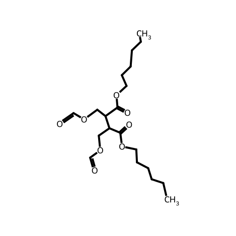 CCCCCCOC(=O)C(COC=O)C(COC=O)C(=O)OCCCCCC